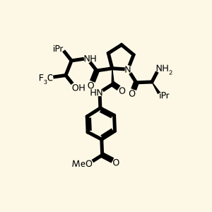 COC(=O)c1ccc(NC(=O)[C@@]2(C(=O)NC(C(C)C)C(O)C(F)(F)F)CCCN2C(=O)[C@@H](N)C(C)C)cc1